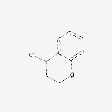 ClC1CCOc2ccccc21